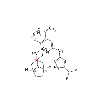 C=Nc1cc(Nc2cc(C(F)F)[nH]n2)nc(N[C@@H]2C[C@H]3CC[C@@H](C2)N3CCC#N)c1/C=C\C